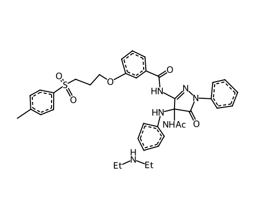 CC(=O)NC1(Nc2ccccc2)C(=O)N(c2ccccc2)N=C1NC(=O)c1cccc(OCCCS(=O)(=O)c2ccc(C)cc2)c1.CCNCC